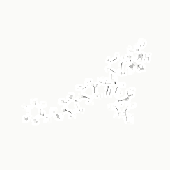 O=C1CN(c2cccc(-n3cc(-c4ccc(Cl)cc4Cl)nc3Cc3ccc(-c4ccc(OCCC5CCCCC5)cc4)cc3)c2)S(=O)(=O)N1